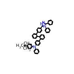 CC(C)(C)c1ccc(N(c2ccccc2)c2ccc(-c3ccccc3-c3ccccc3-c3ccc(-c4nnc(-c5ccccc5)n4-c4ccccc4)cc3)cc2)cc1